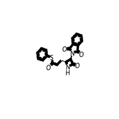 O=C(CC[C@H]1NC(=O)[C@@H]1N1C(=O)c2ccccc2C1=O)Sc1ccccc1